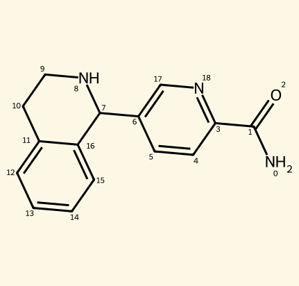 NC(=O)c1ccc(C2NCCc3ccccc32)cn1